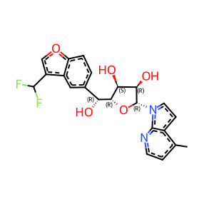 Cc1ccnc2c1ccn2[C@@H]1O[C@H]([C@H](O)c2ccc3occ(C(F)F)c3c2)[C@@H](O)[C@H]1O